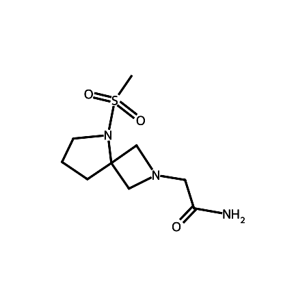 CS(=O)(=O)N1CCCC12CN(CC(N)=O)C2